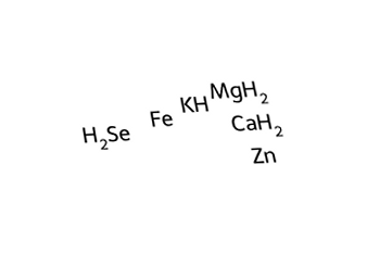 [CaH2].[Fe].[KH].[MgH2].[SeH2].[Zn]